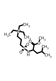 CC[N+](CC)(CC)CCCS(=O)(=O)NC(CC(C)C)C(=O)OC